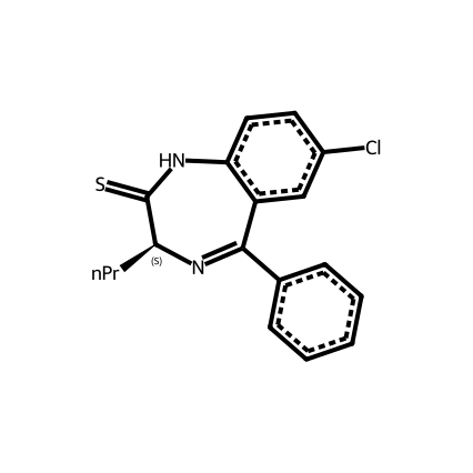 CCC[C@@H]1N=C(c2ccccc2)c2cc(Cl)ccc2NC1=S